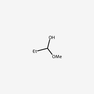 C[CH]C(O)OC